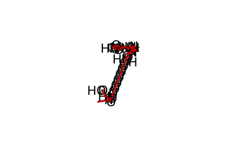 CCCCCCCCCCCN(C(=O)CCCCCCCCCC(=O)O)C(CCC(=O)NCCOCCOCCOCCOCCOCCOCCOCCOCCOCCOCCOCCOCCC(=O)NCCC(=O)OC(C)(C)c1ccc(C(=O)Nc2cc(F)cc(-c3ncnc4[nH]c(-c5ccc(CCN6CCC7(CC6)CCN(C(=O)c6ccc(OC)c(N8CCC(=O)NC8=O)c6)CC7)cc5)cc34)c2C)c(F)c1)C(C)=O